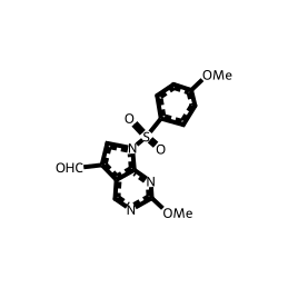 COc1ccc(S(=O)(=O)n2cc(C=O)c3cnc(OC)nc32)cc1